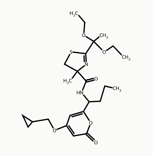 CCCC(NC(=O)C1(C)CSC(C(C)(OCC)OCC)=N1)c1cc(OCC2CC2)cc(=O)o1